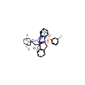 Cc1nc2ccccc2n1[C@H]1C[C@H]2CC[C@@H](C1)N2CCC1(CN(C)S(=O)(=O)c2cccc(Cl)c2)CCc2ccccc21